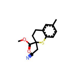 COC(=O)C1(CC#N)CCc2cc(C)ccc2S1